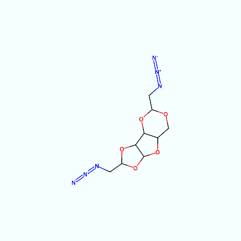 [N-]=[N+]=NCC1OCC2OC3OC(CN=[N+]=[N-])OC3C2O1